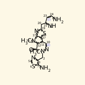 CN(Cc1ncsc1N)/N=C\c1c(C=O)n(C)c2nc(CC(=N)/C=C\N)sc12